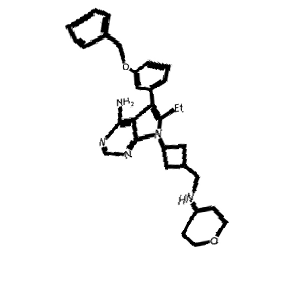 CCc1c(-c2cccc(OCc3ccccc3)c2)c2c(N)ncnc2n1C1CC(CNC2CCOCC2)C1